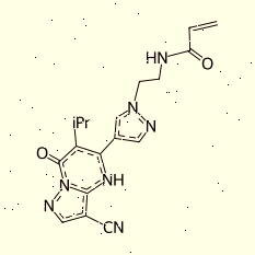 C=CC(=O)NCCn1cc(-c2[nH]c3c(C#N)cnn3c(=O)c2C(C)C)cn1